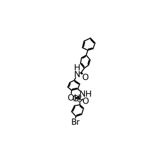 O=C(Nc1ccc(O)c(NS(=O)(=O)c2ccc(Br)cc2)c1)c1ccc(-c2ccccc2)cc1